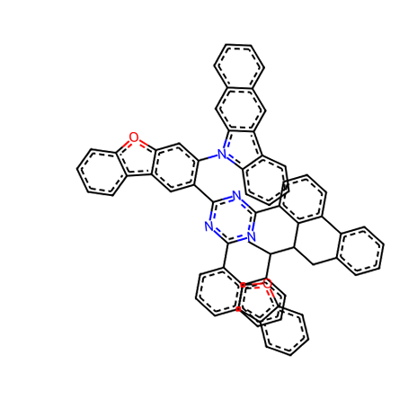 CC(c1ccccc1)C1Cc2ccccc2-c2cccc(-c3nc(-c4cc5c(cc4-n4c6ccccc6c6cc7ccccc7cc64)oc4ccccc45)nc(-c4cccc5c4oc4ccccc45)n3)c21